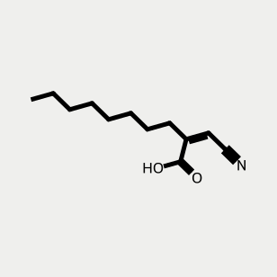 CCCCCCCC/C(=C/C#N)C(=O)O